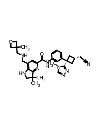 Cn1cnnc1[C@]1(c2cccc(NC(=O)c3cc(CNCC4(C)COC4)c4c(n3)C(C)(C)CN4)c2)C[C@H](CC#N)C1